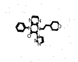 O=C1C(n2ccnn2)N(CCC2CCOCC2)c2nccnc2N1c1ccccc1